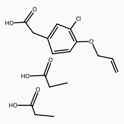 C=CCOc1ccc(CC(=O)O)cc1Cl.CCC(=O)O.CCC(=O)O